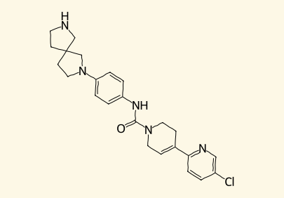 O=C(Nc1ccc(N2CCC3(CCNC3)C2)cc1)N1CC=C(c2ccc(Cl)cn2)CC1